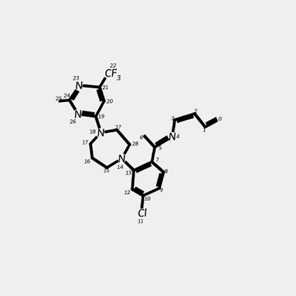 C=C/C=C\N=C(/C)c1ccc(Cl)cc1N1CCCN(c2cc(C(F)(F)F)nc(C)n2)CC1